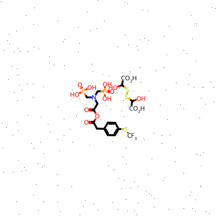 O=C(Cc1ccc(SC(F)(F)F)cc1)OC(=O)CN(CP(=O)(O)O)CP(=O)(O)O.O=C(O)C(O)SSC(O)C(=O)O